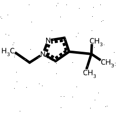 CCn1cc(C(C)(C)C)cn1